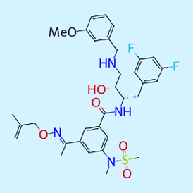 C=C(C)CO/N=C(\C)c1cc(C(=O)N[C@@H](Cc2cc(F)cc(F)c2)[C@H](O)CNCc2cccc(OC)c2)cc(N(C)S(C)(=O)=O)c1